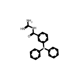 N=C(N)NC(=O)c1cccc(P(c2ccccc2)c2ccccc2)c1